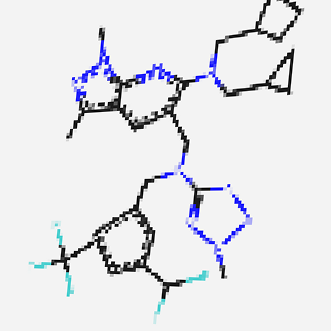 Cc1nn(C)c2nc(N(CC3CCC3)CC3CC3)c(CN(Cc3cc(C(F)F)cc(C(F)(F)F)c3)C3=NN(C)NN3)cc12